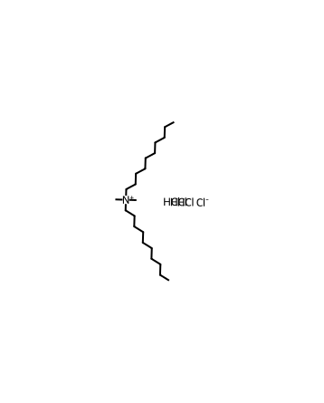 CCCCCCCCCC[N+](C)(C)CCCCCCCCCC.Cl.Cl.Cl.[Cl-]